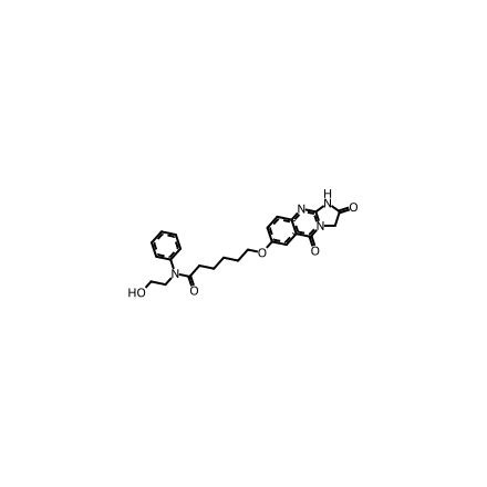 O=C1Cn2c(nc3ccc(OCCCCCC(=O)N(CCO)c4ccccc4)cc3c2=O)N1